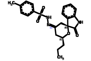 CCC[C@H]1C/C(=N/NS(=O)(=O)c2ccc(C)cc2)C[C@]2(O1)C(=O)Nc1ccccc12